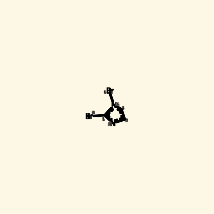 Brc1nccn1Br